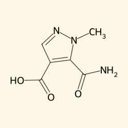 Cn1ncc(C(=O)O)c1C(N)=O